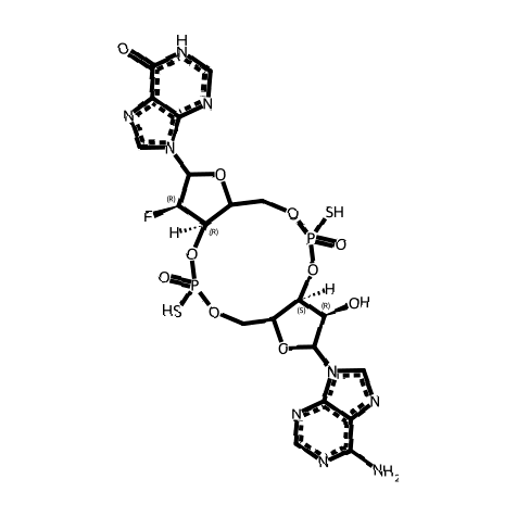 Nc1ncnc2c1ncn2C1OC2COP(=O)(S)O[C@@H]3C(COP(=O)(S)O[C@H]2[C@H]1O)OC(n1cnc2c(=O)[nH]cnc21)[C@@H]3F